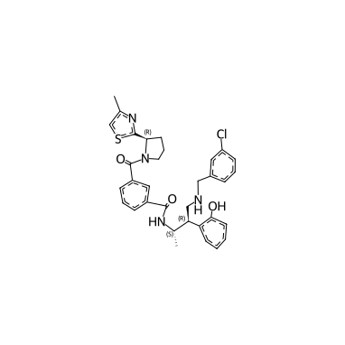 Cc1csc([C@H]2CCCN2C(=O)c2cccc(C(=O)N[C@@H](C)[C@@H](CNCc3cccc(Cl)c3)c3ccccc3O)c2)n1